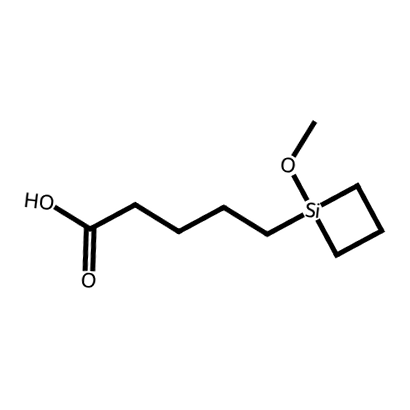 CO[Si]1(CCCCC(=O)O)CCC1